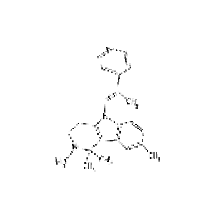 CC(=Cn1c2c(c3cc(C)ccc31)C(C)(C)N(C)CC2)c1ccncc1